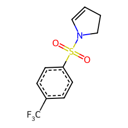 O=S(=O)(c1ccc(C(F)(F)F)cc1)N1C=CCC1